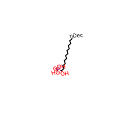 CCCCCCCCCCCCCCCCCCCCCCCC(O)P(=O)(O)O